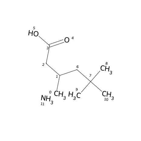 CC(CC(=O)O)CC(C)(C)C.N